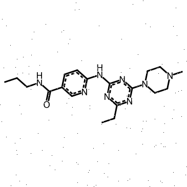 CCCNC(=O)c1ccc(Nc2nc(CC)nc(N3CCN(C)CC3)n2)nc1